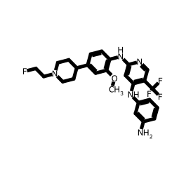 COc1cc(C2CCN(CCF)CC2)ccc1Nc1cc(Nc2cccc(N)c2)c(C(F)(F)F)cn1